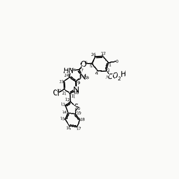 CC1=C(C(=O)O)CC(Oc2nc3nc(-c4cc5ccccc5s4)c(Cl)cc3[nH]2)C=C1